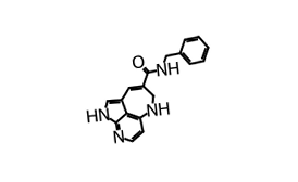 O=C(NCc1ccccc1)C1=Cc2c[nH]c3nccc(c23)NC1